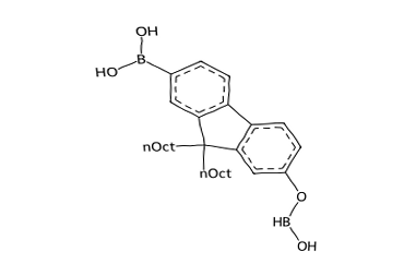 CCCCCCCCC1(CCCCCCCC)c2cc(OBO)ccc2-c2ccc(B(O)O)cc21